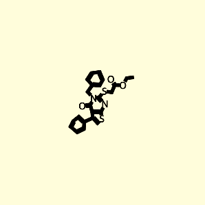 CCOC(=O)CSc1nc2scc(-c3ccccc3)c2c(=O)n1Cc1ccccc1